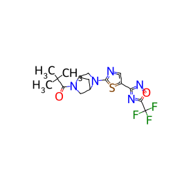 CC(C)(C)C(=O)N1CC2CC1CN2c1ncc(-c2noc(C(F)(F)F)n2)s1